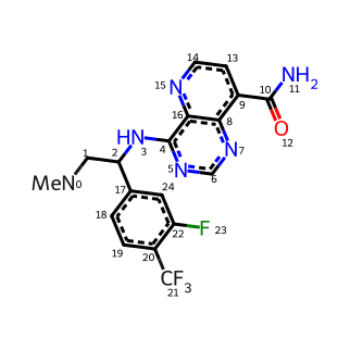 CNCC(Nc1ncnc2c(C(N)=O)ccnc12)c1ccc(C(F)(F)F)c(F)c1